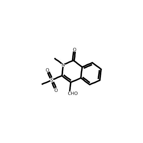 Cn1c(S(C)(=O)=O)c(C=O)c2ccccc2c1=O